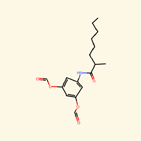 CCCCCCC(C)C(=O)Nc1cc(OC=O)cc(OC=O)c1